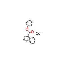 O=C(Oc1ccccc1)c1cccc2ccccc12.[Co]